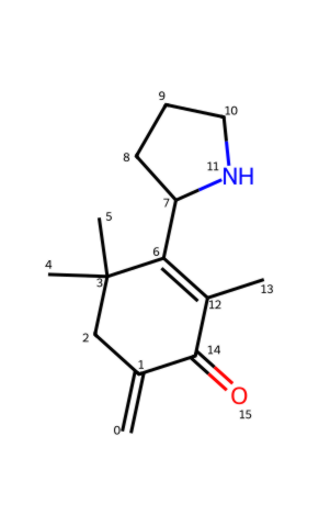 C=C1CC(C)(C)C(C2CCCN2)=C(C)C1=O